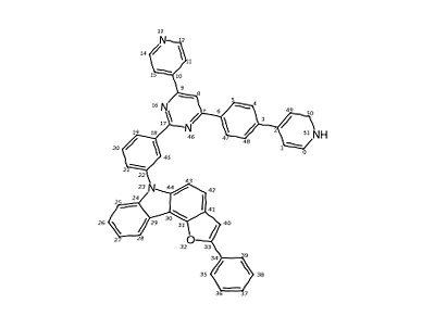 C1=CC(c2ccc(-c3cc(-c4ccncc4)nc(-c4cccc(-n5c6ccccc6c6c7oc(-c8ccccc8)cc7ccc65)c4)n3)cc2)=CCN1